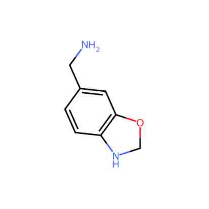 NCc1ccc2c(c1)OCN2